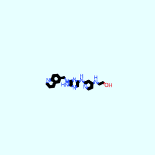 OCCNc1ccnc(Nc2cnc3[nH]n(Cc4ccc5ncccc5c4)c3n2)c1